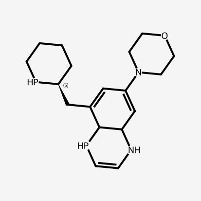 C1=CPC2C(C[C@@H]3CCCCP3)=CC(N3CCOCC3)=CC2N1